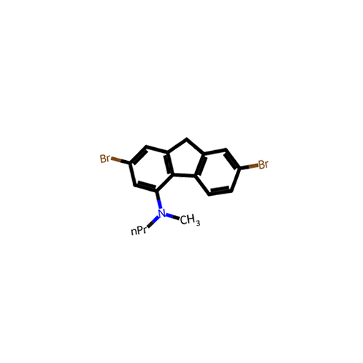 CCCN(C)c1cc(Br)cc2c1-c1ccc(Br)cc1C2